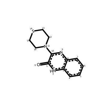 O=c1[nH]c2ccccc2nc1N1CCSCC1